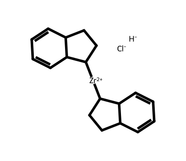 C1=CC2CC[CH]([Zr+2][CH]3CCC4C=CC=CC43)C2C=C1.[Cl-].[H-]